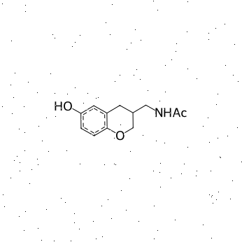 CC(=O)NCC1COc2ccc(O)cc2C1